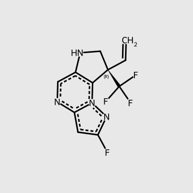 C=C[C@@]1(C(F)(F)F)CNc2cnc3cc(F)nn3c21